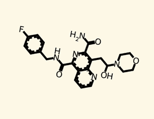 NC(=O)c1nc(C(=O)NCc2ccc(F)cc2)c2cccnc2c1CC(O)N1CCOCC1